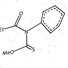 CCC(=O)N(C(=S)OC)c1ccccc1